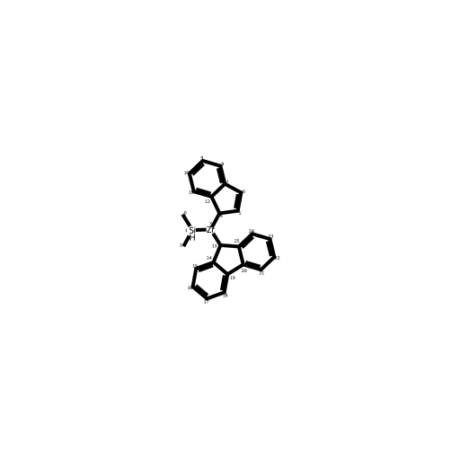 C[SiH](C)[Zr]([CH]1C=Cc2ccccc21)[CH]1c2ccccc2-c2ccccc21